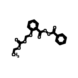 CCOC(=O)OCOc1ccccc1C(=O)OOC(=O)c1ccccc1